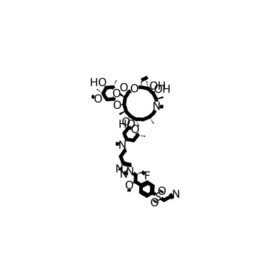 CC[C@H]1OC(=O)[C@H](C)[C@@H](O[C@H]2C[C@@](C)(OC)[C@@H](O)[C@H](C)O2)[C@H](C)[C@@H](O[C@H]2C[C@@H](N(C)CCc3cn([C@H](CF)[C@H](OC)c4ccc(S(=O)(=O)CC#N)cc4)nn3)C[C@@H](C)O2)[C@](C)(O)C[C@@H](C)CN(C)[C@H](C)[C@@H](O)[C@]1(C)O